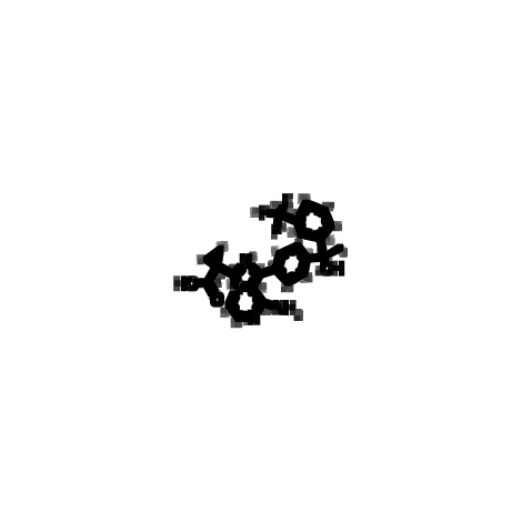 C[C@@](O)(c1ccc(-c2nc(C3(C(=O)O)CC3)n3ccnc(N)c23)cc1)c1cccc(C(F)(F)F)c1